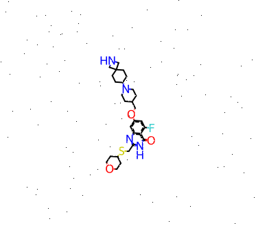 O=c1[nH]c(CSC2CCOCC2)nc2cc(OCC3CCN(C4CCC5(CC4)CNC5)CC3)cc(F)c12